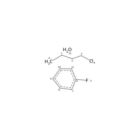 CCCCCl.Fc1ccccc1.O